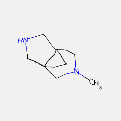 CN1CC23CNCC2(C1)C3